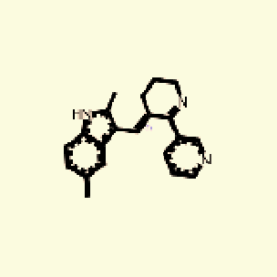 Cc1ccc2[nH]c(C)c(/C=C3\CCCN=C3c3cccnc3)c2c1